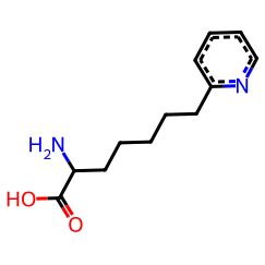 NC(CCCCCc1ccccn1)C(=O)O